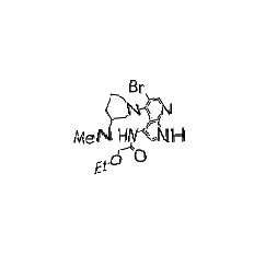 CCOCC(=O)Nc1c[nH]c2ncc(Br)c(N3CCCC(NC)C3)c12